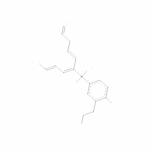 C=CC/C=C/C(=C\C=C\O)C(C)(C)c1ccc(O)c(CCC)c1